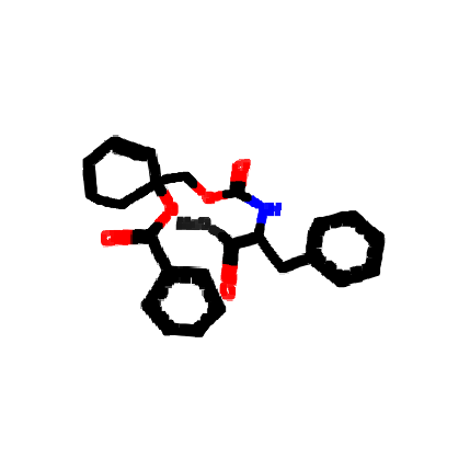 COC(=O)C(Cc1ccccc1)NC(=O)OCC1(OC(=O)c2ccccc2)C=CC=CC1